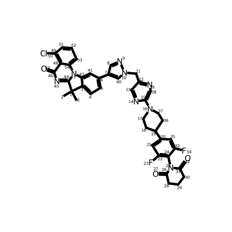 CC1(C)c2ccc(-c3cnn(Cc4cnc(N5CCC(c6cc(F)c(N7C(=O)CCCC7=O)c(F)c6)CC5)cn4)c3)cc2-n2c1nc(=O)c1c(Cl)cccc12